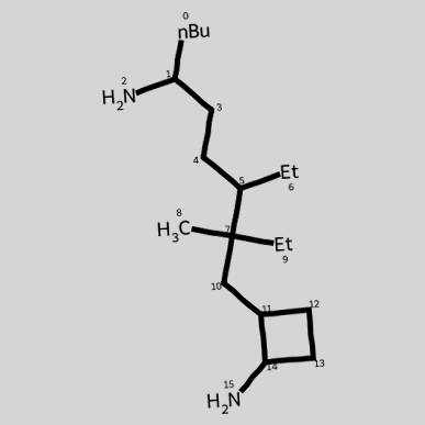 CCCCC(N)CCC(CC)C(C)(CC)CC1CCC1N